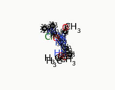 COc1ccc(Cn2nc(Oc3ccnc(N=C(c4ccccc4)c4ccccc4)c3Cl)c3ncc(N4CCC5(CC4)Cc4ccccc4C5NC(=O)OC(C)(C)C)nc32)cc1